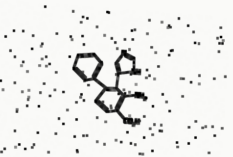 Nc1c(C(=O)O)ccc(-c2ccccc2)c1-c1cnc[nH]1